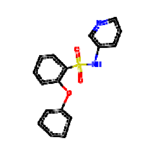 O=S(=O)(Nc1cccnc1)c1ccccc1Oc1ccccc1